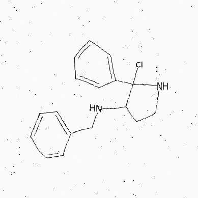 ClC1(c2ccccc2)NCCC1NCc1ccccc1